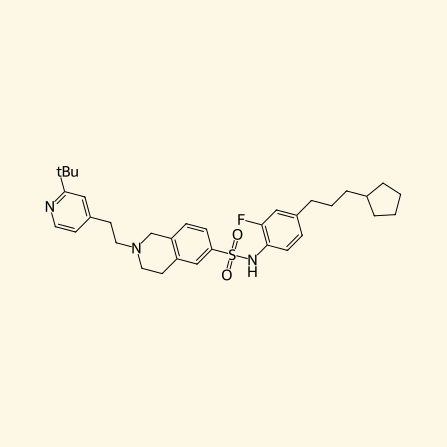 CC(C)(C)c1cc(CCN2CCc3cc(S(=O)(=O)Nc4ccc(CCCC5CCCC5)cc4F)ccc3C2)ccn1